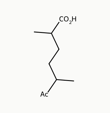 CC(=O)C(C)CCC(C)C(=O)O